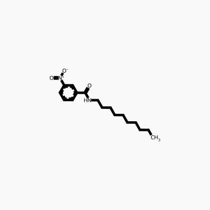 CCCCCCCCCCNC(=O)c1cccc([N+](=O)[O-])c1